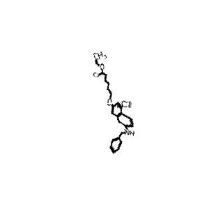 CCOC(=O)CCCCCOc1ccc2c(c1)CC(NCc1ccccc1)CC2.Cl